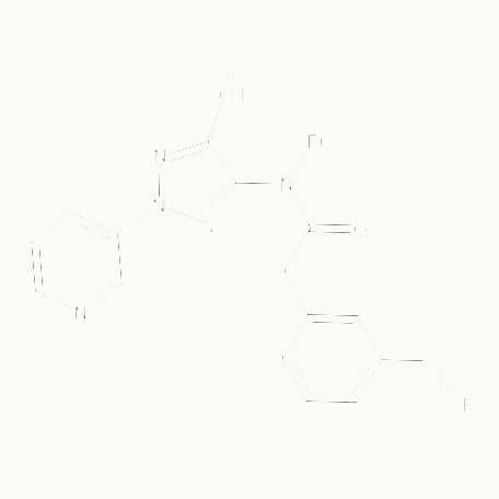 CCN(C(=O)Cc1cccc(OC(F)(F)F)c1)c1cn(-c2cccnc2)nc1C